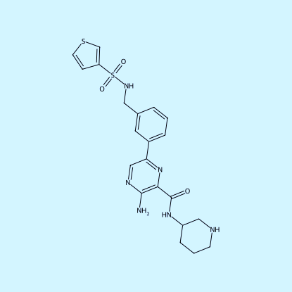 Nc1ncc(-c2cccc(CNS(=O)(=O)c3ccsc3)c2)nc1C(=O)NC1CCCNC1